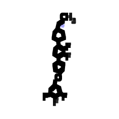 C/C=C/C1CCC(c2ccc(-c3ccc(OCc4cc(F)c(F)c(F)c4)cc3)c(F)c2F)CC1